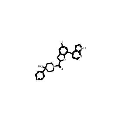 O=C(C1Cc2cc(Cl)cc(-c3ccnc4[nH]ccc34)c2O1)N1CCC(O)(c2ccncc2)CC1